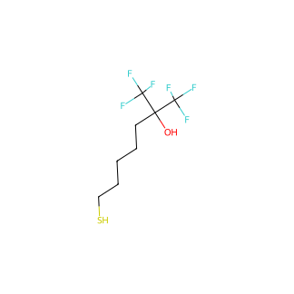 OC(CCCCCS)(C(F)(F)F)C(F)(F)F